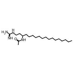 CCCCCCCCCCCCCCCC(CCNC(=N)N)NC(C)=O